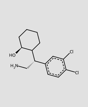 NC[C@@H](c1ccc(Cl)c(Cl)c1)C1CCCC[C@@H]1O